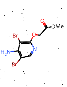 COC(=O)COc1ncc(Br)c(N)c1Br